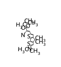 CN(C)c1cc2c(s1)-c1sc(/C=C(\C#N)C(=O)OC(C)(C)C)cc1C2(C)C